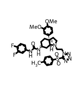 COc1ccc([C@@]23CC[C@@H](NC(=O)Nc4ccc(F)c(F)c4)C[C@@H]2N(CCn2nnnc2S(=O)(=O)c2ccc(C)cc2)CC3)cc1OC